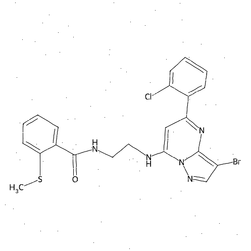 CSc1ccccc1C(=O)NCCNc1cc(-c2ccccc2Cl)nc2c(Br)cnn12